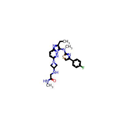 CCc1nc2ccc(N3CC(NCC(=O)NC)C3)nn2c1N(C)c1nc(-c2ccc(F)cc2)cs1